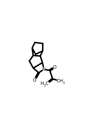 C=C(C)C(=O)N1C(=O)C2CC3C4CCC(C4)C3C21